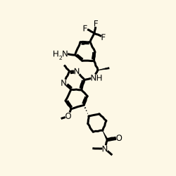 COc1cc2nc(C)nc(N[C@H](C)c3cc(N)cc(C(F)(F)F)c3)c2cc1[C@H]1CC[C@H](C(=O)N(C)C)CC1